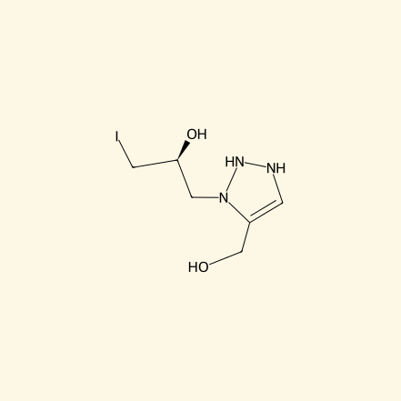 OCC1=CNNN1C[C@H](O)CI